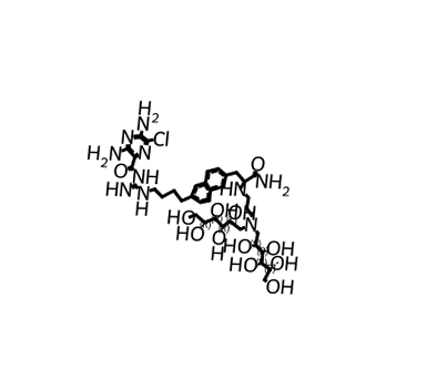 N=C(NCCCCc1ccc2cc(CC(NCCCN(C[C@H](O)[C@@H](O)[C@H](O)[C@H](O)CO)C[C@H](O)[C@@H](O)[C@H](O)[C@H](O)CO)C(N)=O)ccc2c1)NC(=O)c1nc(Cl)c(N)nc1N